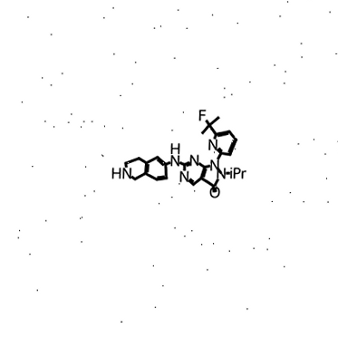 CC(C)n1c(=O)c2cnc(Nc3ccc4c(c3)CCNC4)nc2n1-c1cccc(C(C)(C)F)n1